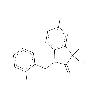 Cc1ccccc1CN1C(=O)C(C)(C)c2cc(Cl)ccc21